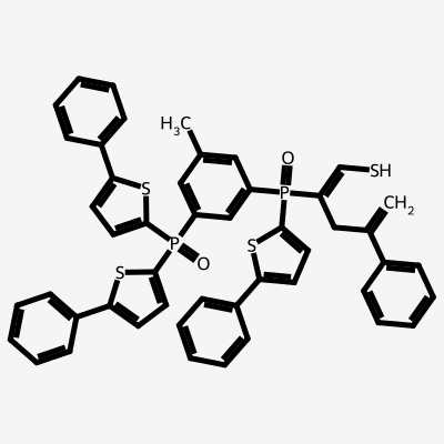 C=C(C/C(=C\S)P(=O)(c1cc(C)cc(P(=O)(c2ccc(-c3ccccc3)s2)c2ccc(-c3ccccc3)s2)c1)c1ccc(-c2ccccc2)s1)c1ccccc1